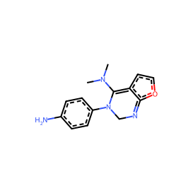 CN(C)C1=c2ccoc2=NCN1c1ccc(N)cc1